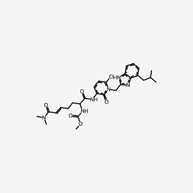 COC(=O)NC(CCC=CC(=O)N(C)C)C(=O)Nc1ccc(Cl)n(Cc2nc3c(CC(C)C)cccc3[nH]2)c1=O